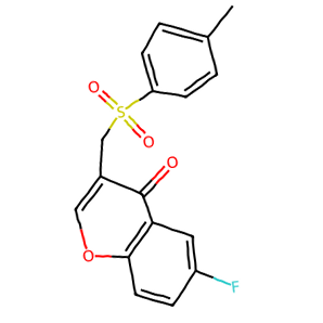 Cc1ccc(S(=O)(=O)Cc2coc3ccc(F)cc3c2=O)cc1